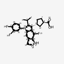 CC(C)c1c([C@@H]2CC[C@@H](C(=O)O)C2)c2c(F)c3[nH]ncc3cc2n1-c1ccc(F)c(F)c1